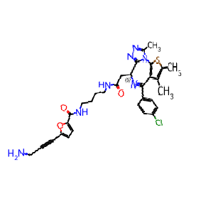 Cc1sc2c(c1C)C(c1ccc(Cl)cc1)=N[C@@H](CC(=O)NCCCCNC(=O)c1ccc(C#CCN)o1)c1nnc(C)n1-2